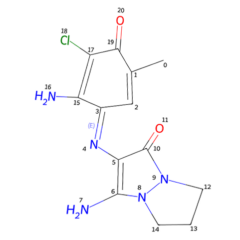 CC1=C/C(=N\c2c(N)n3n(c2=O)CCC3)C(N)=C(Cl)C1=O